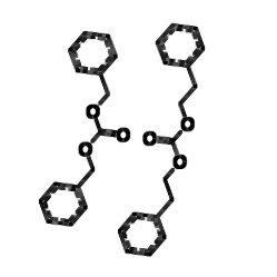 O=C(OCCc1ccccc1)OCCc1ccccc1.O=C(OCc1ccccc1)OCc1ccccc1